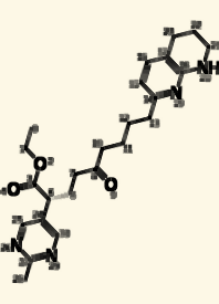 CCOC(=O)[C@H](CCC(=O)CCCCc1ccc2c(n1)NCCC2)c1cnc(C)nc1